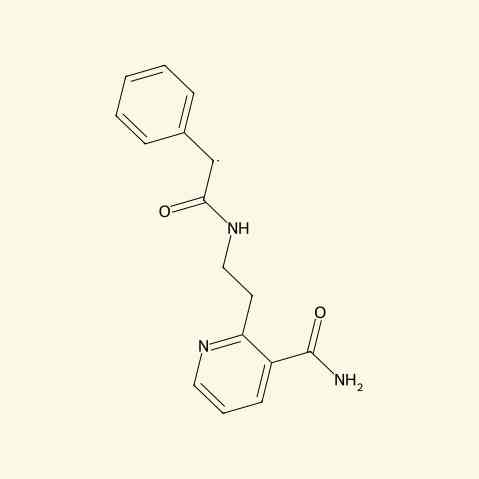 NC(=O)c1cccnc1CCNC(=O)[CH]c1ccccc1